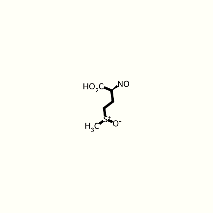 C[S+]([O-])CC[C@H](N=O)C(=O)O